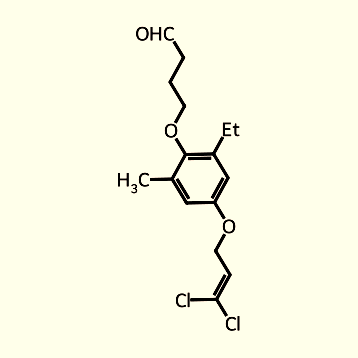 CCc1cc(OCC=C(Cl)Cl)cc(C)c1OCCCC=O